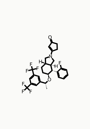 C[C@@H](O[C@H]1CC[C@@H]2CN(C3=CC(=O)CC3)C[C@H]2[C@@H]1c1ccccc1F)c1cc(C(F)(F)F)cc(C(F)(F)F)c1